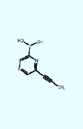 CC#Cc1cncc(B(O)O)n1